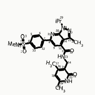 CNS(=O)(=O)c1ccc(-c2cc(C(=O)NCc3c(C)cc(C)[nH]c3=O)c3c(C)nn(C(C)C)c3n2)cc1